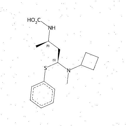 C[C@H](C[C@H](Sc1ccccc1)N(C)C1CCC1)NC(=O)O